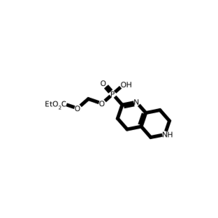 CCOC(=O)OCOP(=O)(O)C1=NC2=C(CC1)CNCC2